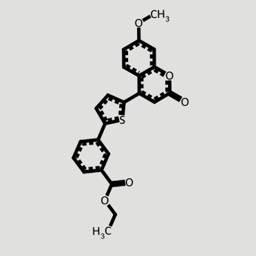 CCOC(=O)c1cccc(-c2ccc(-c3cc(=O)oc4cc(OC)ccc34)s2)c1